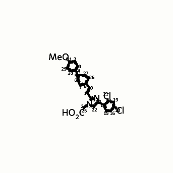 COc1ccc(-c2ccc(C=Cc3nc(-c4ccc(Cl)cc4Cl)cn3CC(=O)O)cc2)cc1